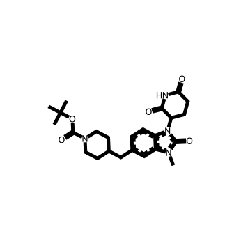 Cn1c(=O)n(C2CCC(=O)NC2=O)c2ccc(CC3CCN(C(=O)OC(C)(C)C)CC3)cc21